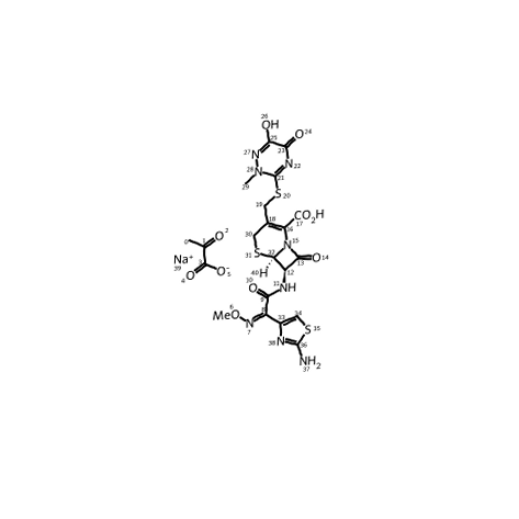 CC(=O)C(=O)[O-].CO/N=C(\C(=O)N[C@@H]1C(=O)N2C(C(=O)O)=C(CSc3nc(=O)c(O)nn3C)CS[C@H]12)c1csc(N)n1.[Na+]